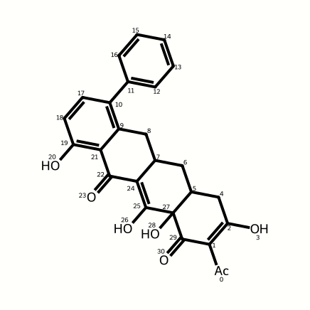 CC(=O)C1=C(O)CC2CC3Cc4c(-c5ccccc5)ccc(O)c4C(=O)C3=C(O)C2(O)C1=O